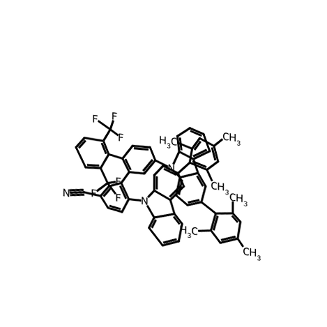 Cc1cc(C)c(-c2ccc3c(c2)c2ccccc2n3-c2ccc(-c3c(C(F)(F)F)cccc3C(F)(F)F)c(-c3cc(C#N)ccc3-n3c4ccccc4c4cc(-c5c(C)cc(C)cc5C)ccc43)c2)c(C)c1